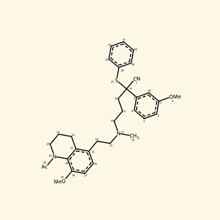 COc1cccc(C(C#N)(CCCN(C)CCc2ccc(OC)c3c2CCCN3C(C)=O)Sc2ccccc2)c1